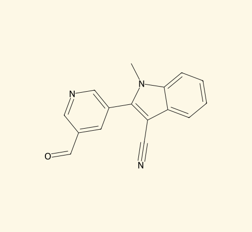 Cn1c(-c2cncc(C=O)c2)c(C#N)c2ccccc21